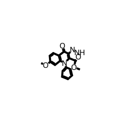 COC(=O)c1c(N=N)c(=O)c2ccc(OC)cc2n1-c1ccccc1